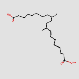 CC(CCCCCCCC(=O)O)CCC(C)CCCCCCCC(=O)O